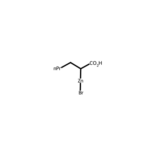 CCCC[CH]([Zn][Br])C(=O)O